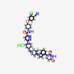 Cl.N#Cc1ccc(OC2CCC(NC(=O)c3ccc(N4CCC(CN5CC[C@@H](n6ccc7c(N8CCC(=O)NC8=O)cccc76)[C@H](F)C5)CC4)nn3)CC2)cc1Cl